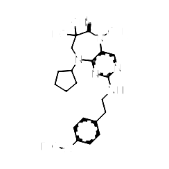 CN1C(=O)C(C)(C)CN(C2CCCC2)c2nc(NCCc3ccc(OC(F)(F)F)cc3)ncc21